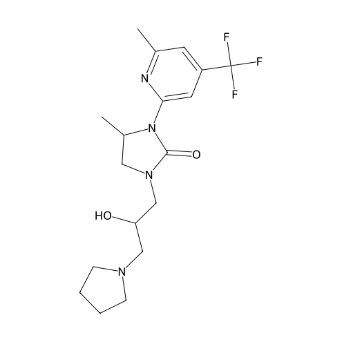 Cc1cc(C(F)(F)F)cc(N2C(=O)N(CC(O)CN3CCCC3)CC2C)n1